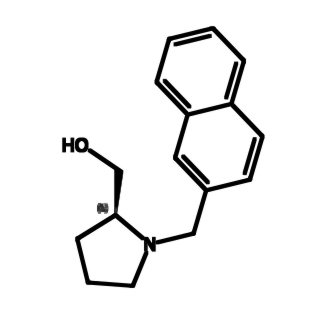 OC[C@@H]1CCCN1Cc1ccc2ccccc2c1